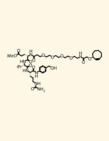 COC(=O)CC[C@H](NC(=O)CCOCCOCCOCCOCCNC(=O)CO[C@@H]1C#CCCCCC1)C(=O)N[C@H](C(=O)N[C@@H](CCCNC(N)=O)C(=O)Nc1ccc(CO)cc1)C(C)C